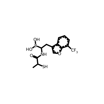 CC(S)C(=O)NC(Cc1coc2c(C(F)(F)F)cccc12)B(O)O